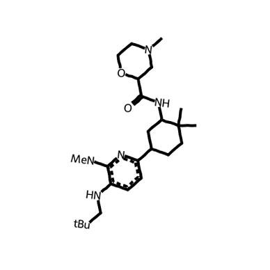 CNc1nc(C2CCC(C)(C)C(NC(=O)C3CN(C)CCO3)C2)ccc1NCC(C)(C)C